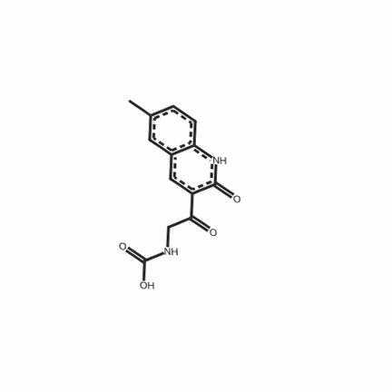 Cc1ccc2[nH]c(=O)c(C(=O)CNC(=O)O)cc2c1